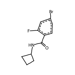 O=C(NC1CCC1)c1ccc(Br)cc1F